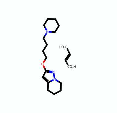 O=C(O)C=CC(=O)O.c1c(OCCCCN2CCCCC2)nn2c1CCCC2